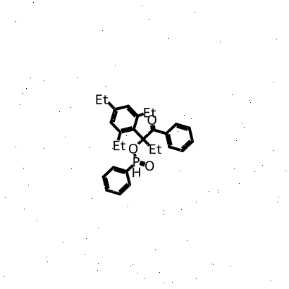 CCc1cc(CC)c(C(CC)(O[PH](=O)c2ccccc2)C(=O)c2ccccc2)c(CC)c1